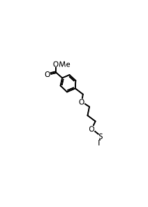 COC(=O)c1ccc(COCCCOSI)cc1